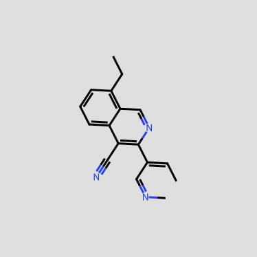 C/C=C(\C=N/C)c1ncc2c(CC)cccc2c1C#N